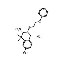 CC1(C)c2cc(O)ccc2C[C@H](SCCOc2ccccc2)[C@H]1N.Cl